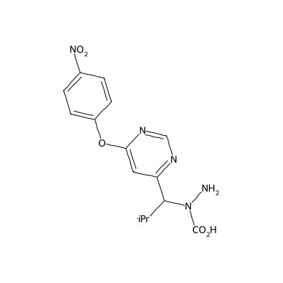 C[C](C)C(c1cc(Oc2ccc([N+](=O)[O-])cc2)ncn1)N(N)C(=O)O